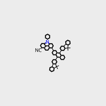 CC1(C)c2ccccc2-c2ccc(-c3c4ccccc4c(-c4ccc5c(c4)C(C)(C)c4ccccc4-5)c4cc(-c5ccc6c7c5ccc5c(C#N)ccc(c57)n6-c5ccccc5)ccc34)cc21